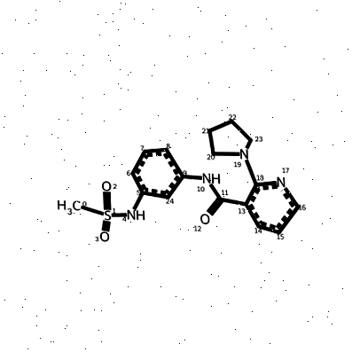 CS(=O)(=O)Nc1cccc(NC(=O)c2cccnc2N2CCCC2)c1